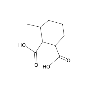 CC1CCC[C](C(=O)O)C1C(=O)O